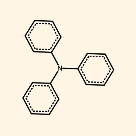 [c]1cc[c]c(N(c2ccccc2)c2ccccc2)c1